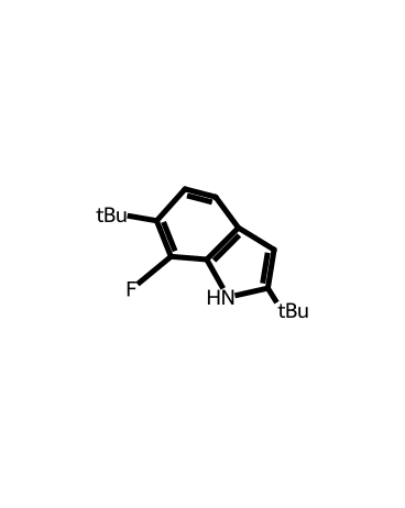 CC(C)(C)c1cc2ccc(C(C)(C)C)c(F)c2[nH]1